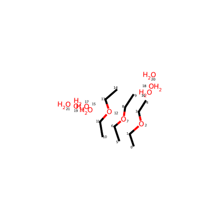 CCOCC.CCOCC.CCOCC.O.O.O.O.O.O.O